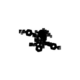 CNC(=O)[C@@](N[C@@H](CCc1ccc(Cl)cc1)c1ccc(OC)c(OC)c1)(c1ccccc1)[C@@](N[C@@H](CCc1ccc(C(F)(F)F)cc1)c1cc(C)ccc1F)(C(=O)NC)c1ccc(F)cc1